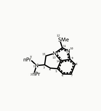 CCCN(CCC)C1Cc2cccc3nc(SC)n(c23)C1